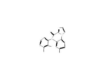 Cc1c(F)cccc1-n1c(=O)c2nccn2c2ccc(Cl)cc21